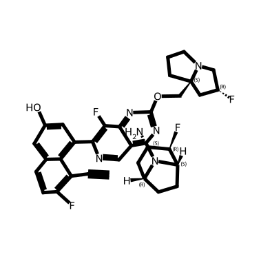 C#Cc1c(F)ccc2cc(O)cc(-c3ncc4c(N5[C@@H]6CC[C@H]5[C@H](F)[C@@H](N)C6)nc(OC[C@@]56CCCN5C[C@H](F)C6)nc4c3F)c12